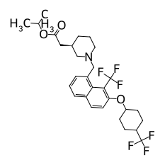 CC(C)OC(=O)C[C@H]1CCCN(Cc2cccc3ccc(OC4CCC(C(F)(F)F)CC4)c(C(F)(F)F)c23)C1